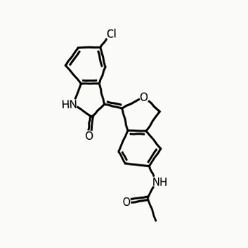 CC(=O)Nc1ccc2c(c1)COC2=C1C(=O)Nc2ccc(Cl)cc21